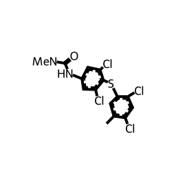 CNC(=O)Nc1cc(Cl)c(Sc2cc(C)c(Cl)cc2Cl)c(Cl)c1